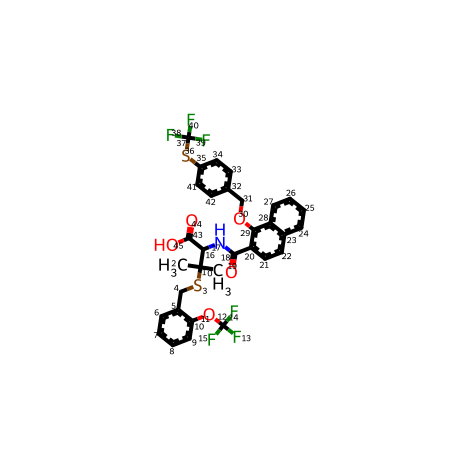 CC(C)(SCc1ccccc1OC(F)(F)F)C(NC(=O)c1ccc2ccccc2c1OCc1ccc(SC(F)(F)F)cc1)C(=O)O